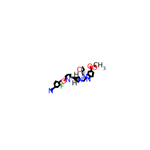 COC(=O)c1ccc2nc(CN3C[C@@H]4[C@H](C3)[C@H]4c3cccc(OCc4ccc(C#N)cc4F)n3)n(C[C@@H]3CCO3)c2c1